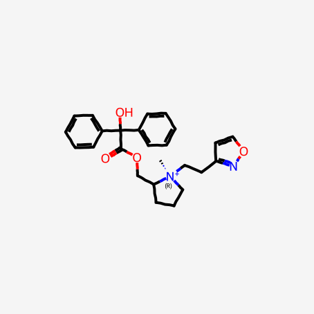 C[N@+]1(CCc2ccon2)CCCC1COC(=O)C(O)(c1ccccc1)c1ccccc1